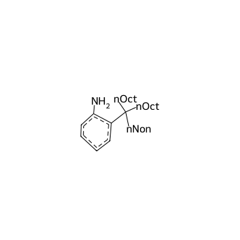 CCCCCCCCCC(CCCCCCCC)(CCCCCCCC)c1ccccc1N